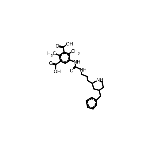 Cc1c(NC(=O)NCCCC2CC(Cc3ccccc3)CCN2)cc(C(=O)O)c(C)c1C(=O)O